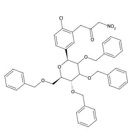 O=C(Cc1cc([C@@H]2O[C@H](COCc3ccccc3)[C@@H](OCc3ccccc3)C(OCc3ccccc3)C2OCc2ccccc2)ccc1Cl)C[N+](=O)[O-]